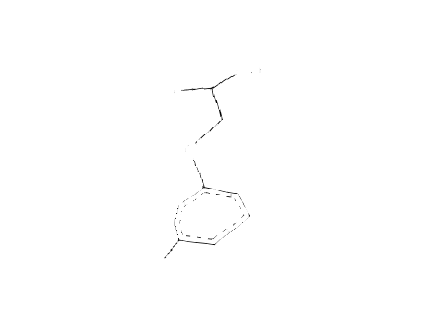 CCCCC(O)COc1cccc(C)c1